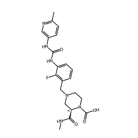 CNC(=O)[C@H]1CN(Cc2cccc(NC(=O)Nc3ccc(C)nc3)c2F)CCN1C(=O)O